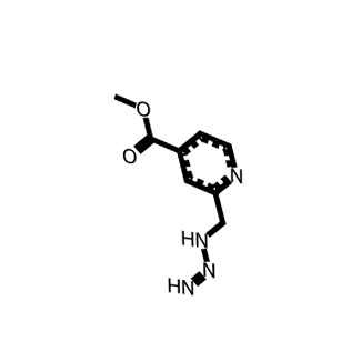 COC(=O)c1ccnc(CNN=N)c1